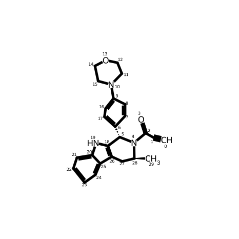 C#CC(=O)N1[C@@H](c2ccc(N3CCOCC3)cc2)c2[nH]c3ccccc3c2C[C@@H]1C